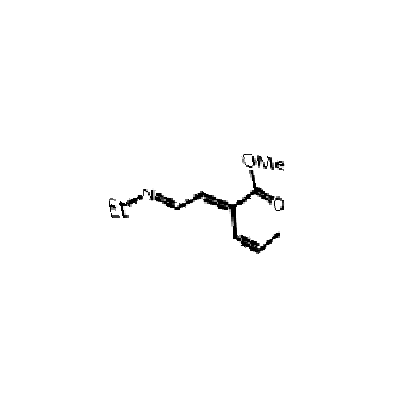 C\C=C/C(=C\C=N\CC)C(=O)OC